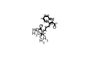 CC(C)(C)N(CCCc1c(C=O)nc2ccccn12)C(=O)O